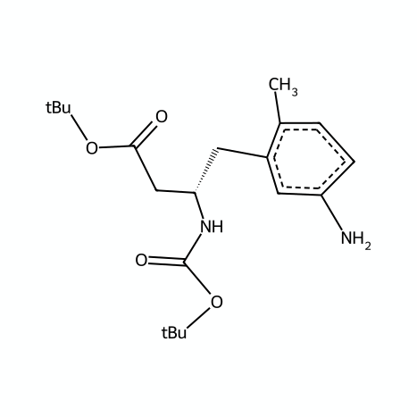 Cc1ccc(N)cc1C[C@@H](CC(=O)OC(C)(C)C)NC(=O)OC(C)(C)C